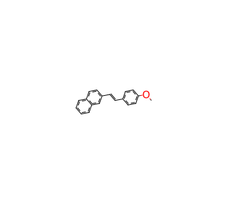 COc1ccc(C=Cc2ccc3ccccc3c2)cc1